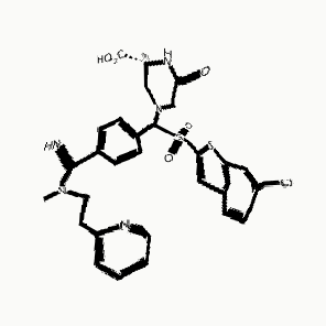 CN(CCc1ccccn1)C(=N)c1ccc(C(N2CC(=O)N[C@@H](C(=O)O)C2)S(=O)(=O)c2cc3ccc(Cl)cc3s2)cc1